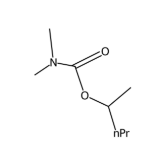 [CH2]CCC(C)OC(=O)N(C)C